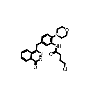 O=C(CCCCl)Nc1cc(CC2=C3C=CC=CC3C(=O)N=N2)ccc1N1CCOCC1